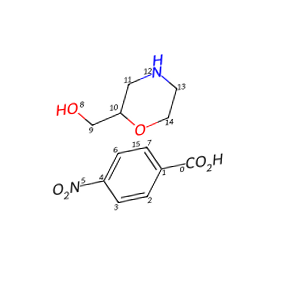 O=C(O)c1ccc([N+](=O)[O-])cc1.OCC1CNCCO1